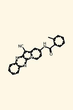 Cc1ccccc1C(=O)Nc1ccn2c(c1)c(C#N)c1nc3ccccc3nc12